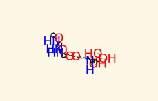 O=C(Nc1cccc(COCCOCCCCCCNC[C@H](O)c2ccc(O)c(CO)c2)c1)Nc1cccc(NC(=O)c2ccccc2)c1